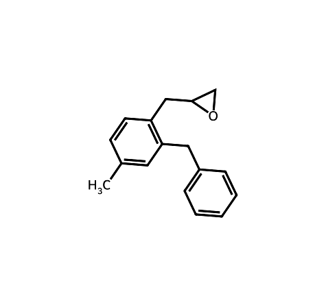 Cc1ccc(CC2CO2)c(Cc2ccccc2)c1